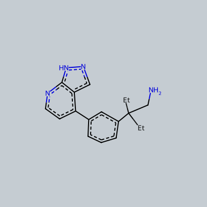 CCC(CC)(CN)c1cccc(-c2ccnc3[nH]ncc23)c1